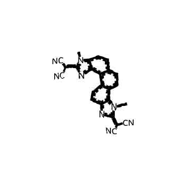 Cn1c(=C(C#N)C#N)nc2c3c(ccc4c3ccc3nc(=C(C#N)C#N)n(C)c34)ccc21